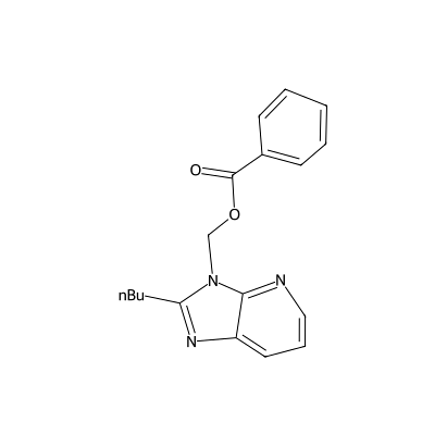 CCCCc1nc2cccnc2n1COC(=O)c1ccccc1